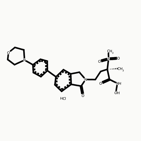 C[C@@](CCN1Cc2cc(-c3ccc(N4CCOCC4)cc3)ccc2C1=O)(C(=O)NO)S(C)(=O)=O.Cl